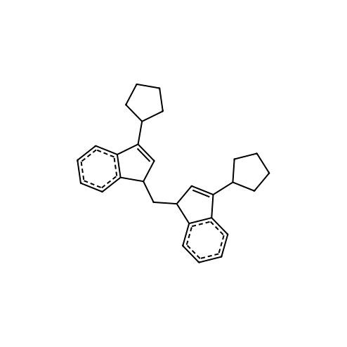 C1=C(C2CCCC2)c2ccccc2C1CC1C=C(C2CCCC2)c2ccccc21